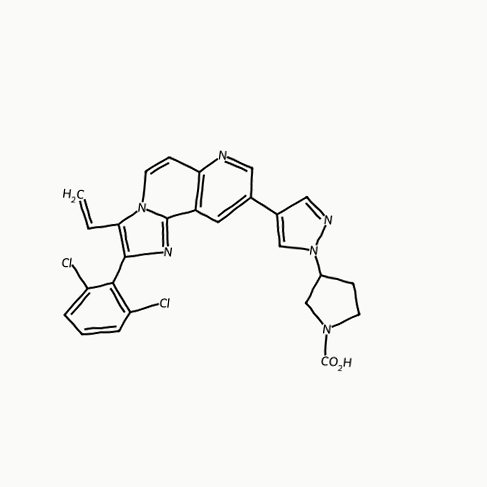 C=Cc1c(-c2c(Cl)cccc2Cl)nc2c3cc(-c4cnn(C5CCN(C(=O)O)C5)c4)cnc3ccn12